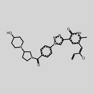 C=C/C(Cl)=C\c1cc(-c2cn(-c3ccc(C(=O)N4CCC(N5CCC(O)CC5)C4)cc3)nn2)c(=O)[nH]c1C